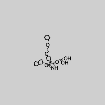 OC[C@H](O)COC[C@@H]1CNC[C@H](OCc2ccc3ccccc3c2)[C@H]1c1ccc(OCCCOCc2ccccc2)cc1